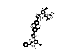 C#C[C@H]1C[C@@H](c2ncc(-c3cc4c5c(c3)OCc3cc(-c6cnc([C@@H]7C[C@](C)(C#C)CN7C(=O)[C@@H](NC(=O)OC)C(C)C)[nH]6)cc(c3-5)OC4)[nH]2)N(C(=O)[C@H](N)c2ccccc2)C1